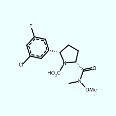 CON(C)C(=O)[C@H]1CC[C@@H](c2cc(F)cc(Cl)c2)N1C(=O)O